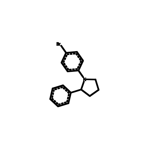 Brc1ccc(N2CCCC2c2ccccc2)cc1